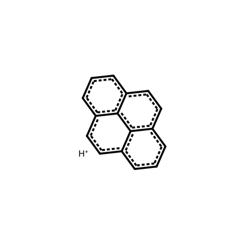 [H+].c1cc2ccc3cccc4ccc(c1)c2c34